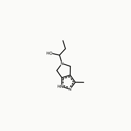 CCC(O)N1Cc2[nH]nc(C)c2C1